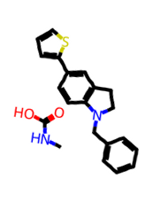 CNC(=O)O.c1ccc(CN2CCc3cc(-c4cccs4)ccc32)cc1